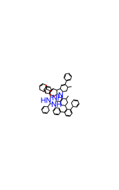 CC1CC2C(C=C1c1ccccc1)C1C=C(C3=CC=CCC3)CCC1N2C1=C(C2NC(c3ccccc3)NC(C3C=CC=CC3)N2)CC(c2c(-c3ccccc3)cccc2C2C=CC=CC2)CC1C